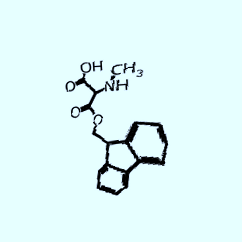 CNC(C(=O)O)C(=O)OCC1c2ccccc2-c2ccccc21